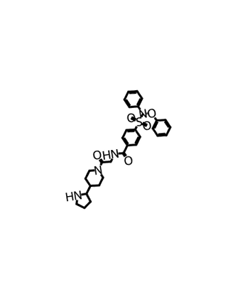 O=C(NCC(=O)N1CCC(C2CCCN2)CC1)c1ccc(S(=O)(=O)N(Oc2ccccc2)c2ccccc2)cc1